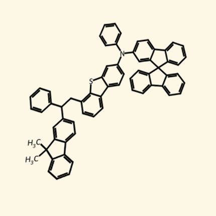 CC1(C)c2ccccc2-c2ccc(C(Cc3cccc4c3sc3cc(N(c5ccccc5)c5ccc6c(c5)C5(c7ccccc7-c7ccccc75)c5ccccc5-6)ccc34)c3ccccc3)cc21